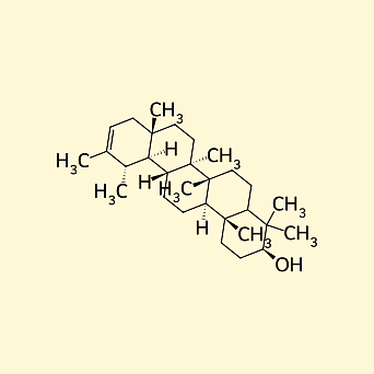 CC1=CC[C@]2(C)CC[C@]3(C)[C@H](CC[C@@H]4[C@@]5(C)CC[C@H](O)C(C)(C)C5CC[C@]43C)[C@H]2[C@@H]1C